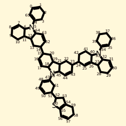 C1=CCCC(N2C3C=CCCC3C3CC(C4C=CC5C(C4)C4CC(C6C=C7C8CCC=CC8N(C8=CCCCC8)C7CC6)C=CC4N5C4=CC=CC(C5CC6=C(C=CCC6)S5)C4)C=CC32)=C1